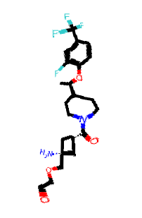 CC(Oc1ccc(C(F)(F)F)cc1F)C1CCN(C(=O)[C@H]2C[C@](N)(COCC=O)C2)CC1